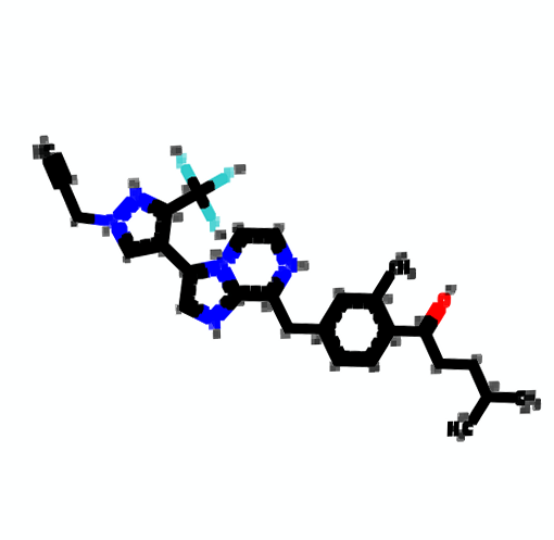 C#CCn1cc(-c2cnc3c(Cc4ccc(C(=O)CCC(C)C)c(C)c4)nccn23)c(C(F)(F)F)n1